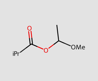 [C]OC(C)OC(=O)C(C)C